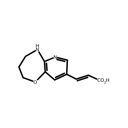 O=C(O)/C=C/c1cnc2c(c1)OCCCN2